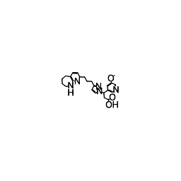 COc1cncc(C(CC(=O)O)n2ccc(CCCc3ccc4c(n3)NCCCC4)n2)c1